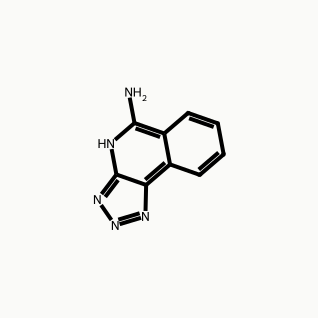 Nc1[nH]c2nnnc-2c2ccccc12